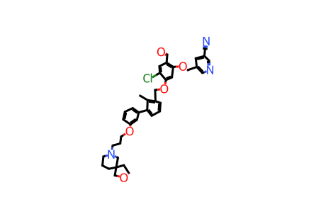 Cc1c(COc2cc(OCc3cncc(C#N)c3)c(C=O)cc2Cl)cccc1-c1cccc(OCCCN2CCCC3(CCOC3)C2)c1